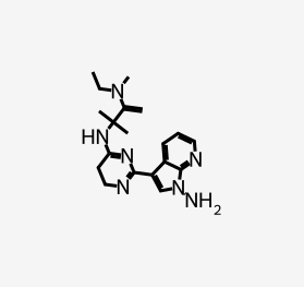 C=C(N(C)CC)C(C)(C)NC1=NC(c2cn(N)c3ncccc23)=NCC1